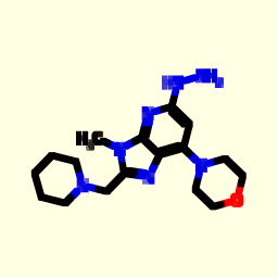 Cn1c(CN2CCCCC2)nc2c(N3CCOCC3)cc(NN)nc21